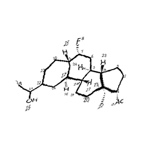 CC(=O)[C@H]1CC[C@H]2[C@@H]3C[C@@H](F)[C@H]4CCC(C(C)O)C[C@@H]4[C@H]3CC[C@]12C